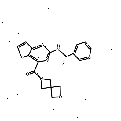 C[C@H](Nc1nc(C(=O)N2CC3(COC3)C2)c2sccc2n1)c1cccnc1